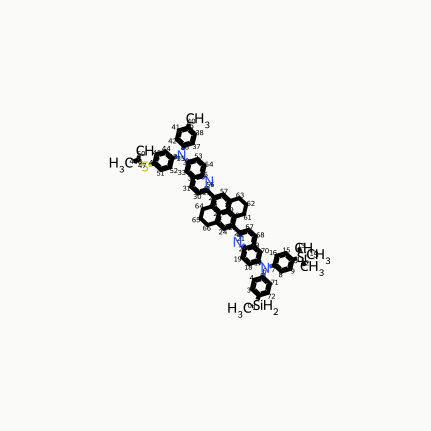 C[SiH2]c1ccc(N(c2ccc([Si](C)(C)C)cc2)c2ccc3nc(-c4cc5c6c(c(-c7ccc8cc(N(c9ccc(C)cc9)c9ccc(SC(C)C)cc9)ccc8n7)cc7c6c4CCC7)CCC5)ccc3c2)cc1